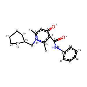 Cc1cc(=O)c(C(=O)Nc2ccccc2)c(C)n1CC1CCCCC1